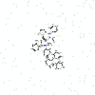 c1ccc(N2c3ccsc3B3c4sc5ccccc5c4N(c4ccc(-c5cccc6c7ccccc7c7ccccc7c56)cc4)c4cccc2c43)cc1